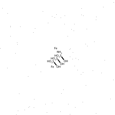 N.O=S(=O)(O)O.O=S(=O)(O)O.O=S(=O)(O)O.[Fe].[Fe]